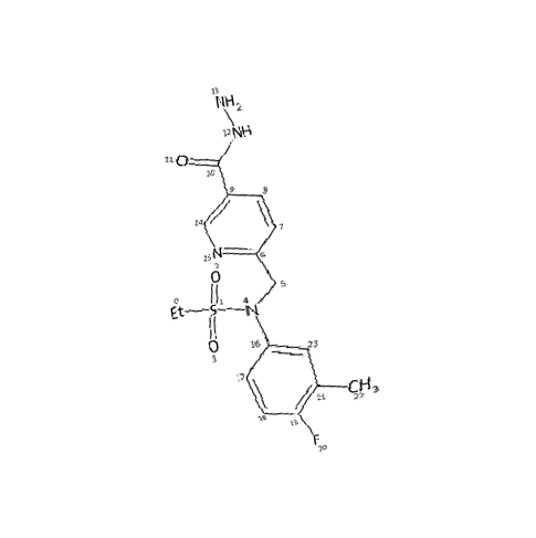 CCS(=O)(=O)N(Cc1ccc(C(=O)NN)cn1)c1ccc(F)c(C)c1